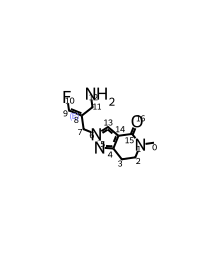 CN1CCc2nn(C/C(=C/F)CN)cc2C1=O